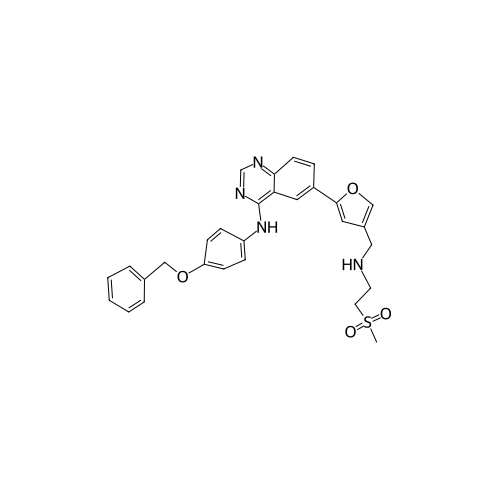 CS(=O)(=O)CCNCc1coc(-c2ccc3ncnc(Nc4ccc(OCc5ccccc5)cc4)c3c2)c1